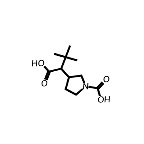 CC(C)(C)C(C(=O)O)C1CCN(C(=O)O)C1